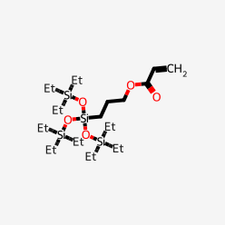 C=CC(=O)OCCC[Si](O[Si](CC)(CC)CC)(O[Si](CC)(CC)CC)O[Si](CC)(CC)CC